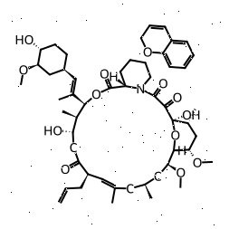 C1=Cc2ccccc2OC1.C=CC[C@@H]1/C=C(\C)C[C@H](C)C[C@H](OC)[C@H]2O[C@@](O)(C(=O)C(=O)N3CCCC[C@H]3C(=O)O[C@H](/C(C)=C/[C@@H]3CC[C@@H](O)[C@H](OC)C3)[C@H](C)[C@@H](O)CC1=O)[C@H](C)C[C@@H]2OC